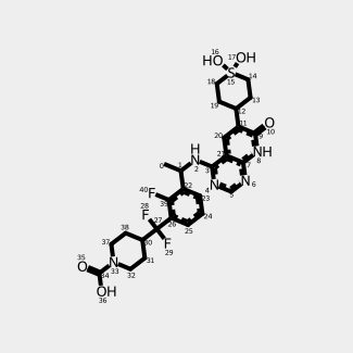 CC(Nc1ncnc2[nH]c(=O)c(C3CCS(O)(O)CC3)cc12)c1cccc(C(F)(F)C2CCN(C(=O)O)CC2)c1F